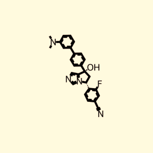 CN(C)c1cccc(-c2ccc([C@@]3(O)C[C@H](c4ccc(C#N)cc4F)n4cncc43)cc2)c1